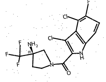 N[C@]1(C(F)(F)F)CCN(C(=O)c2[nH]c3ccc(F)c(Cl)c3c2Cl)C1